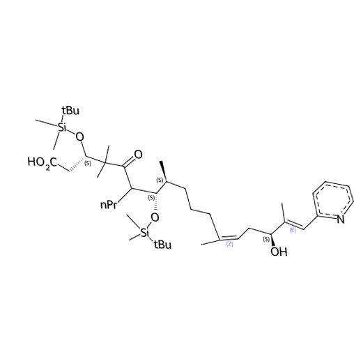 CCCC(C(=O)C(C)(C)[C@H](CC(=O)O)O[Si](C)(C)C(C)(C)C)[C@@H](O[Si](C)(C)C(C)(C)C)[C@@H](C)CCC/C(C)=C\C[C@H](O)/C(C)=C/c1ccccn1